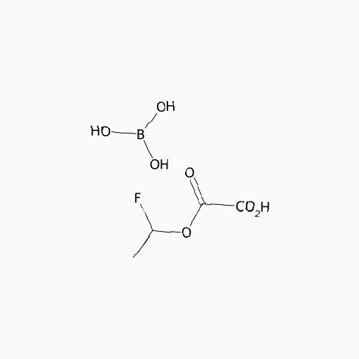 CC(F)OC(=O)C(=O)O.OB(O)O